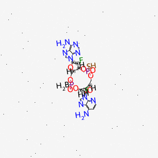 BP1(=O)OC[C@H]2O[C@@H](n3cnc4c(N)ncnc43)[C@H](F)[C@@H]2OP(=O)(S)OC[C@H]2O[C@@H](n3cnc4c(N)ccnc43)[C@H](O1)[C@H]2F